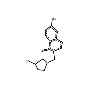 CC(=O)C1CCN(Cc2ccc3cc(C(C)(C)C)ccn3c2=O)C1